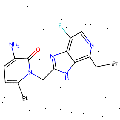 CCc1ccc(N)c(=O)n1Cc1nc2c(F)cnc(CC(C)C)c2[nH]1